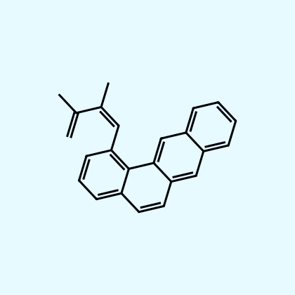 C=C(C)C(C)=Cc1cccc2ccc3cc4ccccc4cc3c12